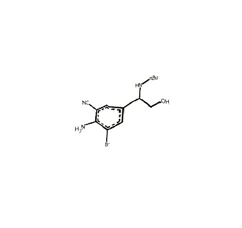 CCCCNC(CO)c1cc(Br)c(N)c(C#N)c1